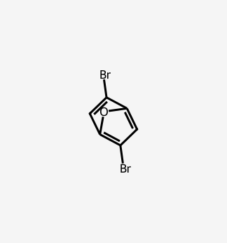 Brc1cc2oc1cc2Br